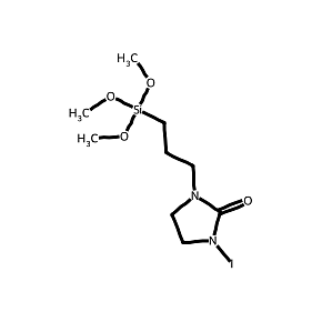 CO[Si](CCCN1CCN(I)C1=O)(OC)OC